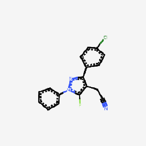 N#CCc1c(-c2ccc(Cl)cc2)nn(-c2ccccc2)c1F